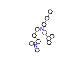 C1=C(c2cc3ccccc3c3ccccc23)CCC(N(c2ccc(-c3ccc(-c4ccccc4)cc3)cc2)c2cccc(-c3cccc(C4=CCCc5c4c4ccccc4n5-c4ccccc4)c3)c2)=C1